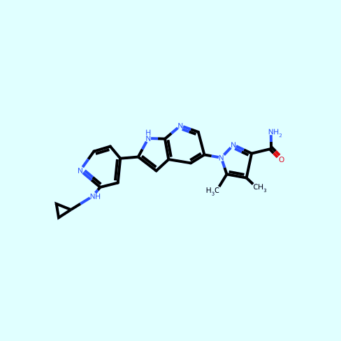 Cc1c(C(N)=O)nn(-c2cnc3[nH]c(-c4ccnc(NC5CC5)c4)cc3c2)c1C